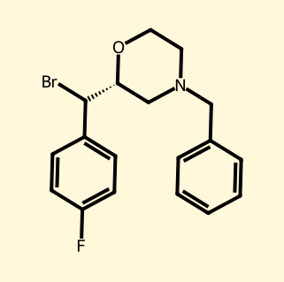 Fc1ccc(C(Br)[C@H]2CN(Cc3ccccc3)CCO2)cc1